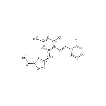 Cc1ccccc1/C=C/c1c(Cl)nc(N)nc1N[C@H]1CC[C@@H](CO)C1